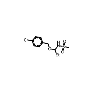 CC[C](NS(C)(=O)=O)OCc1ccc(Cl)cc1